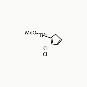 C[O][Ti+2][C]1=CC=CC1.[Cl-].[Cl-]